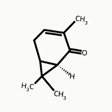 CC1=CCC2[C@@H](C1=O)C2(C)C